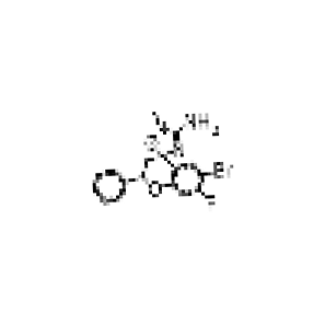 CN1OC2(CC(c3ccccc3)Oc3cc(F)c(Br)cc32)N=C1N